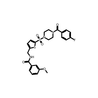 COc1cccc(C(=O)NCc2ccc(S(=O)(=O)N3CCN(C(=O)c4ccc(F)cc4)CC3)s2)c1